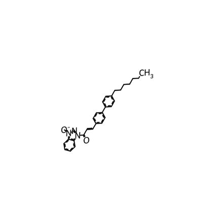 CCCCCCCc1ccc(-c2ccc(C=CC(=O)n3n[n+]([O-])c4ccccc43)cc2)cc1